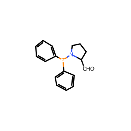 O=[C]C1CCCN1P(c1ccccc1)c1ccccc1